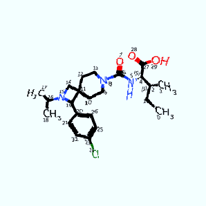 CC[C@H](C)[C@H](NC(=O)N1CCC2(CC1)CN(C(C)C)C2c1ccc(Cl)cc1)C(=O)O